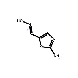 Nc1ncc(/C=N/O)s1